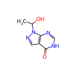 CC(O)n1ncc2c(=O)[nH]cnc21